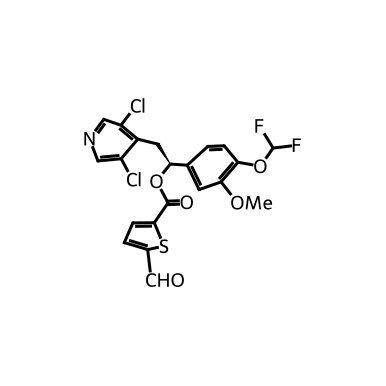 COc1cc([C@H](Cc2c(Cl)cncc2Cl)OC(=O)c2ccc(C=O)s2)ccc1OC(F)F